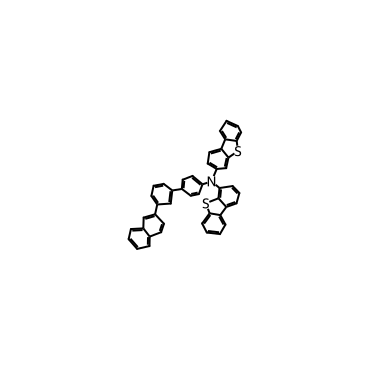 c1cc(-c2ccc(N(c3ccc4c(c3)sc3ccccc34)c3cccc4c3sc3ccccc34)cc2)cc(-c2ccc3ccccc3c2)c1